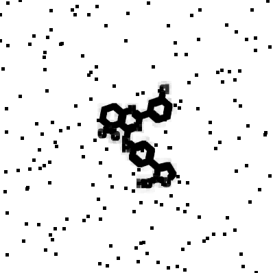 O=S1(=O)CCCc2nc(-c3cccc(Cl)c3)nc(Nc3ccc(C4=CCOB4O)cc3)c21